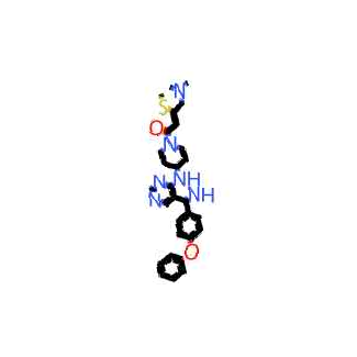 CS/C(=C\C(=O)N1CCC(Nc2ncncc2C(=N)c2ccc(Oc3ccccc3)cc2)CC1)CN(C)C